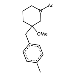 COC1(Cc2ccc(C)cc2)CCCN(C(C)=O)C1